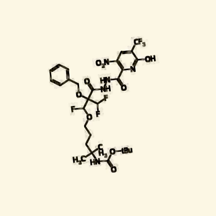 CC(C)(CCCOC(F)C(OCc1ccccc1)(C(=O)NNC(=O)c1nc(O)c(C(F)(F)F)cc1[N+](=O)[O-])C(F)F)NC(=O)OC(C)(C)C